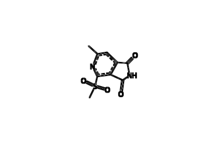 Cc1cc2c(c(S(C)(=O)=O)n1)C(=O)NC2=O